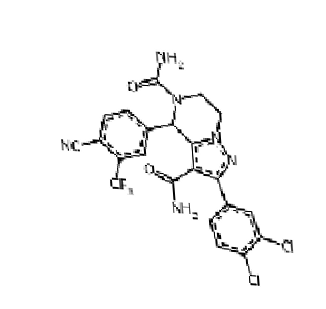 N#Cc1ccc(C2c3c(C(N)=O)c(-c4ccc(Cl)c(Cl)c4)nn3CCN2C(N)=O)cc1C(F)(F)F